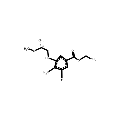 CCOC(=O)c1cc(F)c(N)c(NC[C@@H](C)OC)c1